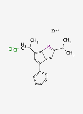 CC(C)C1=PC2=C(C(C)C)C=C(c3ccccc3)C2=C1.[Cl-].[Cl-].[Zr+2]